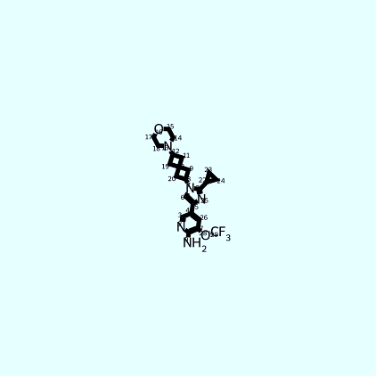 Nc1ncc(-c2cn(C3CC4(CC(N5CCOCC5)C4)C3)c(C3CC3)n2)cc1OC(F)(F)F